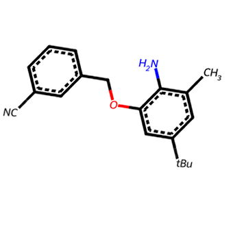 Cc1cc(C(C)(C)C)cc(OCc2cccc(C#N)c2)c1N